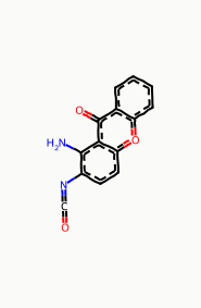 Nc1c(N=C=O)ccc2oc3ccccc3c(=O)c12